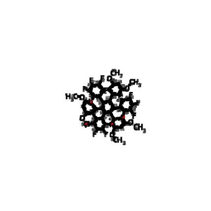 COc1cc(OC)cc(-c2c(-c3c(F)c(F)c(F)c(F)c3F)c(-c3cc(OC)cc(OC)c3)c(-c3c(F)c(F)c(F)c(F)c3F)c(-c3cc(OC)cc(OC)c3)c2-c2c(F)c(F)c(F)c(F)c2F)c1